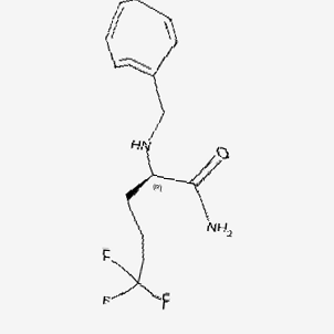 NC(=O)[C@@H](CCC(F)(F)F)NCc1ccccc1